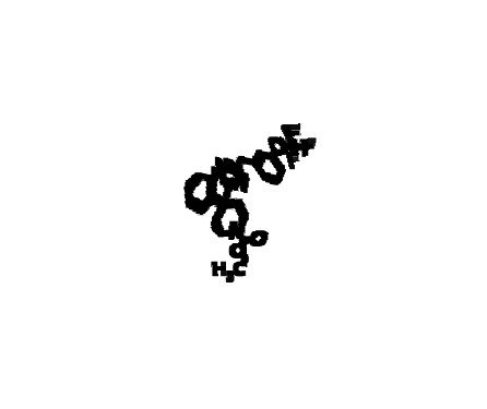 CCOC(=O)N1CCC(c2ccccc2)(c2nnn(Cc3cccc(OC(F)(F)F)c3)n2)CC1